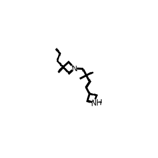 CCCC1(C)CN(CC(C)(C)CCC2CNC2)C1